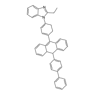 CCc1nc2ccccc2n1C1=CC=C(C2=C3C=CC=CC3C(c3ccc(-c4ccccc4)cc3)c3ccccc32)CC1